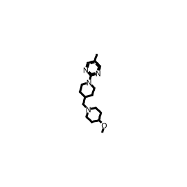 COC1CCN(CC2CCN(c3ncc(C)cn3)CC2)CC1